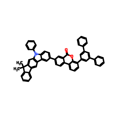 CC1(C)c2ccccc2-c2cc3c4cc(-c5ccc6c(c5)c(=O)oc5c(-c7cc(-c8ccccc8)cc(-c8ccccc8)c7)cccc56)ccc4n(-c4ccccc4)c3cc21